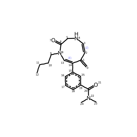 C=C1/C=C\NCC(=O)N(CCCC)/C=C\1c1cccc(C(=O)N(C)C)c1